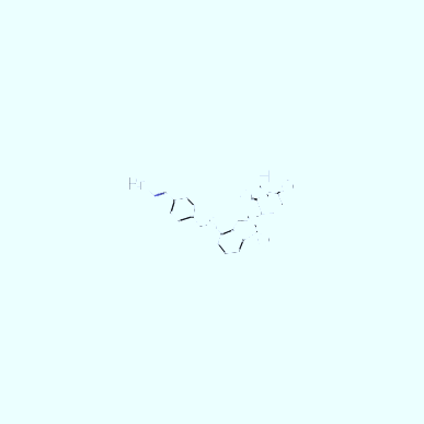 O=C1CCC(N2Cc3c(SCc4ccc(/C=C/Br)cc4)cccc3C2=O)C(=O)N1